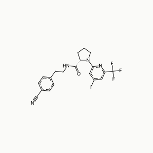 N#Cc1ccc(CCNC(=O)[C@@H]2CCCN2c2cc(I)cc(C(F)(F)F)n2)cc1